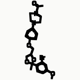 COc1ccc(C2(C)OCC(COc3ccc(N4CCN(C(C)=O)CC4)cc3)O2)c(Br)c1